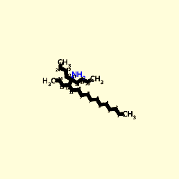 CCCCCCCCCCCCC(CCC)C(N)(CCCC)CCCC